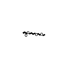 C=CC(=O)OCCCCOCCOCC